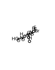 O=C(O)CCNC(=O)c1ccc(CN(C(=O)Nc2nc3cc(C(F)(F)F)c(Br)cc3s2)c2ccc(C3CCCCC3)cc2)cc1